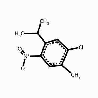 Cc1cc([N+](=O)[O-])c(C(C)C)cc1Cl